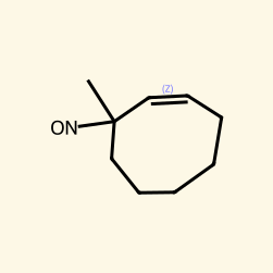 CC1(N=O)/C=C\CCCCC1